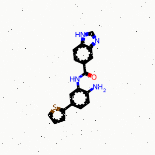 Nc1ccc(-c2cccs2)cc1NC(=O)c1ccc2[nH]cnc2c1